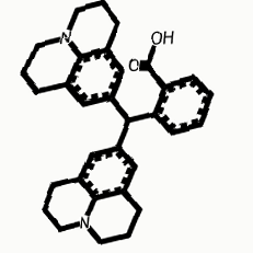 O=C(O)c1ccccc1C(c1cc2c3c(c1)CCCN3CCC2)c1cc2c3c(c1)CCCN3CCC2